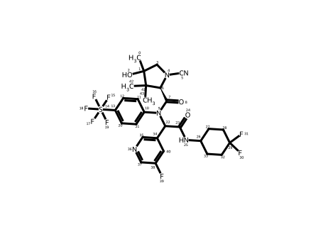 CC1(O)CN(C#N)[C@@H](C(=O)N(c2ccc(S(F)(F)(F)(F)F)cc2)C(C(=O)NC2CCC(F)(F)CC2)c2cncc(F)c2)C1(C)C